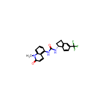 Cn1c(=O)ccc2c(NC(=O)N[C@@H]3CCc4cc(C(F)(F)F)ccc43)cccc21